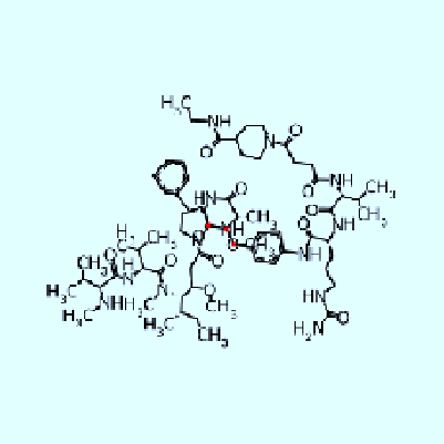 CCNC(=O)C1CCN(C(=O)CCC(=O)N[C@H](C(=O)N[C@@H](CCCNC(N)=O)C(=O)Nc2ccc(CNC(=O)[C@H](Cc3ccccc3)NC(=O)[C@H](C)[C@@H](OC)[C@@H]3CCCN3C(=O)C[C@@H](OC)[C@H]([C@@H](C)CC)N(C)C(=O)[C@@H](NC(=O)[C@@H](NC)C(C)C)C(C)C)cc2)C(C)C)CC1